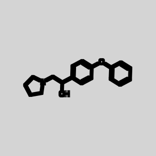 OC(CN1CCCC1)c1ccc(Oc2ccccc2)cc1